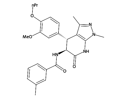 CCCOc1ccc([C@@H]2c3c(C)nn(C)c3NC(=O)[C@H]2NC(=O)c2cccc(C)c2)cc1OC